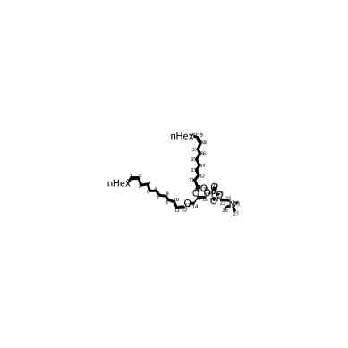 CCCCCC/C=C\CCCCCCCC/C=C\OC[C@H](COP(=O)([O-])OCC[N+](C)(C)C)OC(=O)CCCCCCC/C=C\CCCCCC